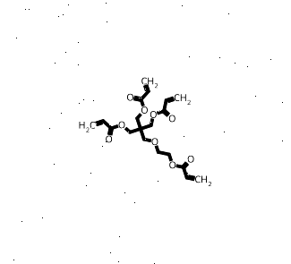 C=CC(=O)OCCOCC(COC(=O)C=C)(COC(=O)C=C)COC(=O)C=C